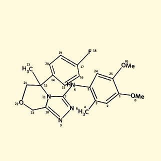 COc1cc(C)c(Nc2nnc3n2C(C)(c2ccc(F)cc2)COC3)cc1OC